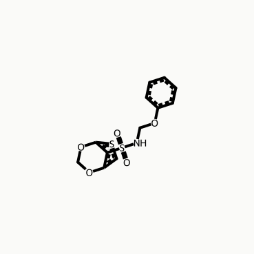 O=S(=O)(NCOc1ccccc1)c1c2csc1OCO2